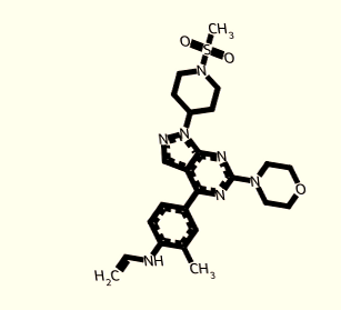 C=CNc1ccc(-c2nc(N3CCOCC3)nc3c2cnn3C2CCN(S(C)(=O)=O)CC2)cc1C